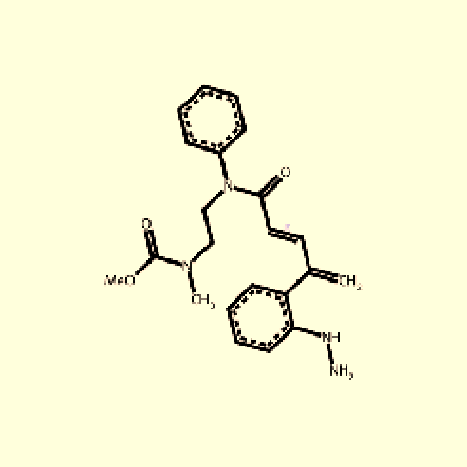 C=C(/C=C/C(=O)N(CCN(C)C(=O)OC)c1ccccc1)c1ccccc1NN